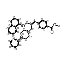 COC(=O)c1ccc(C=C(COc2cccc3ccccc23)CN2CCN(c3ccccn3)CC2)cc1